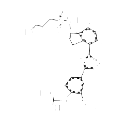 CC(C)Oc1ccc(-c2nc(-c3cccc4c3CC[C@H]4NS(=O)(=O)CCCO)no2)cc1N